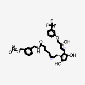 O=C(CCC/C=C\C[C@@H]1[C@@H](/C=C/[C@@H](O)COc2cccc(C(F)(F)F)c2)[C@H](O)C[C@@H]1O)NCc1cccc(CO[N+](=O)[O-])c1